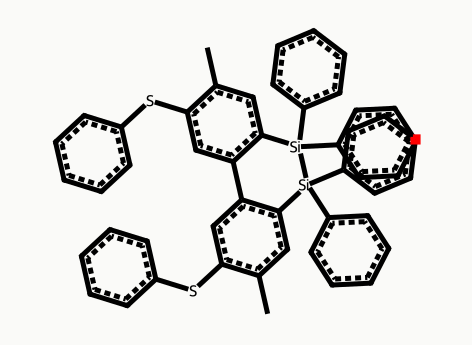 Cc1cc2c(cc1Sc1ccccc1)-c1cc(Sc3ccccc3)c(C)cc1[Si](c1ccccc1)(c1ccccc1)[Si]2(c1ccccc1)c1ccccc1